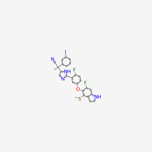 CSc1c(Oc2ccc(F)c(-c3ncc(C(C)(C#N)c4cccc(I)c4)[nH]3)c2)c(F)cc2[nH]ccc12